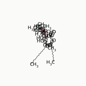 CCCCCCCCCCCCCCCCCC(=O)N[C@H]1COC2O[C@@H](COC(=O)CCC(=O)O[C@H](CCCCCCCCCCCCCC)[C@H]1OC(C)=O)C(OC1OC(COC(=O)c3ccccc3)C(C)C(O[C@]3(C(=O)OC)CC(C)[C@@H](C)[C@@](C)([C@@H](COC(C)=O)OC(C)=O)O3)C1OC(=O)c1ccccc1)C(O)C2O